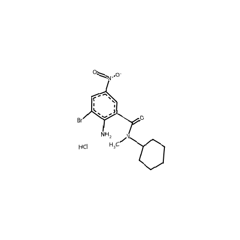 CN(C(=O)c1cc([N+](=O)[O-])cc(Br)c1N)C1CCCCC1.Cl